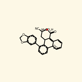 COC(=O)C1=C2C=CC=C3OCOC32c2cccc(-c3ccc4c(c3)OCO4)c2C1CC(C#N)C(=O)O